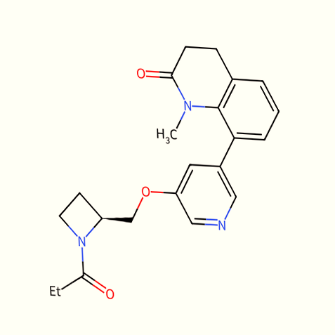 CCC(=O)N1CC[C@H]1COc1cncc(-c2cccc3c2N(C)C(=O)CC3)c1